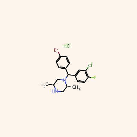 C[C@@H]1CN[C@@H](C)CN1C(c1ccc(Br)cc1)c1ccc(F)c(Cl)c1.Cl